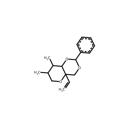 C=CC12COC(c3ccccc3)OC1C(C)C(C)CO2